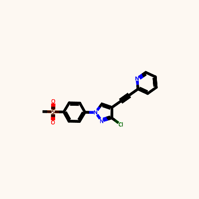 CS(=O)(=O)c1ccc(-n2cc(C#Cc3ccccn3)c(Cl)n2)cc1